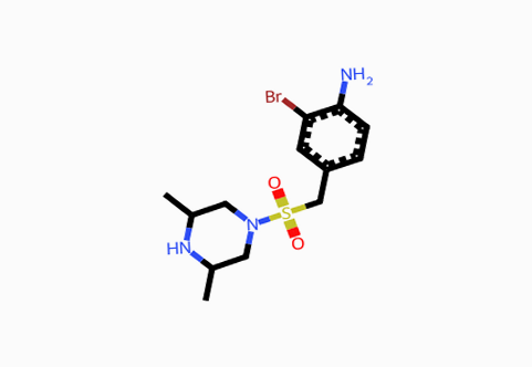 CC1CN(S(=O)(=O)Cc2ccc(N)c(Br)c2)CC(C)N1